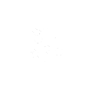 Cl.Cn1nnc2ccc(-c3[nH]c(-c4ccccc4)nc3-c3n[nH]c(=O)n3C3CC3)cc21